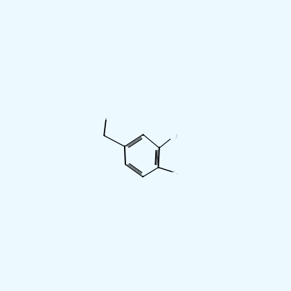 Nc1ccc(CS)cc1N